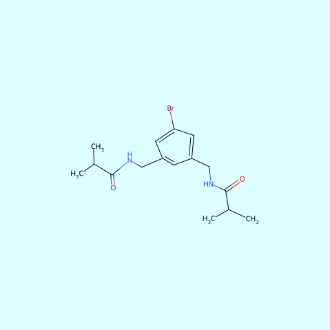 CC(C)C(=O)NCc1cc(Br)cc(CNC(=O)C(C)C)c1